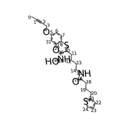 CC#CCOc1ccc(SC(CCCCNC(=O)CCCc2cccs2)C(=O)NO)cc1